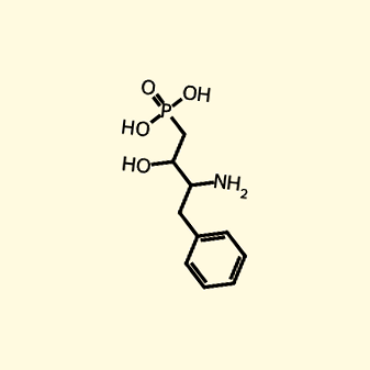 NC(Cc1ccccc1)C(O)CP(=O)(O)O